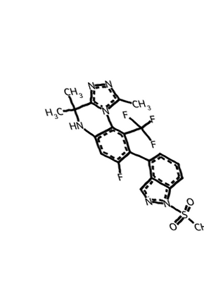 Cc1nnc2n1-c1c(cc(F)c(-c3cccc4c3cnn4S(C)(=O)=O)c1C(F)(F)F)NC2(C)C